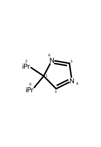 CC(C)C1(C(C)C)C=NC=N1